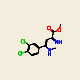 CN/C(=C\C(=N)C(=O)OC)c1ccc(Cl)c(Cl)c1